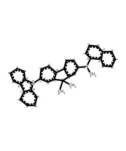 CN(c1ccc2c(c1)C(C)(C)c1cc(-n3c4ccccc4c4ccccc43)ccc1-2)c1cccc2ccccc12